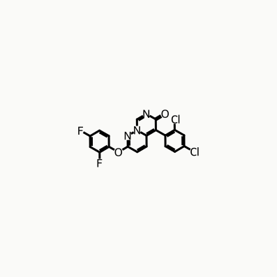 O=c1ncn2nc(Oc3ccc(F)cc3F)ccc2c1-c1ccc(Cl)cc1Cl